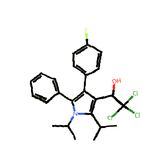 CC(C)c1c(C(O)C(Cl)(Cl)Cl)c(-c2ccc(F)cc2)c(-c2ccccc2)n1C(C)C